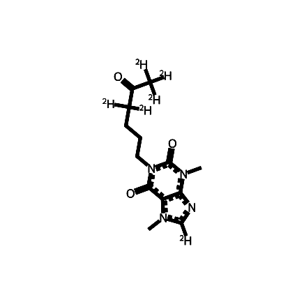 [2H]c1nc2c(c(=O)n(CCCC([2H])([2H])C(=O)C([2H])([2H])[2H])c(=O)n2C)n1C